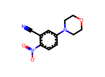 N#Cc1cc(N2CCOCC2)ccc1[N+](=O)[O-]